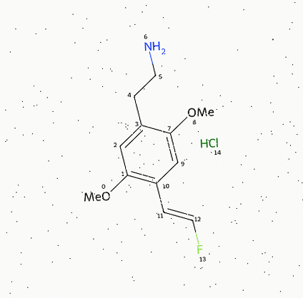 COc1cc(CCN)c(OC)cc1C=CF.Cl